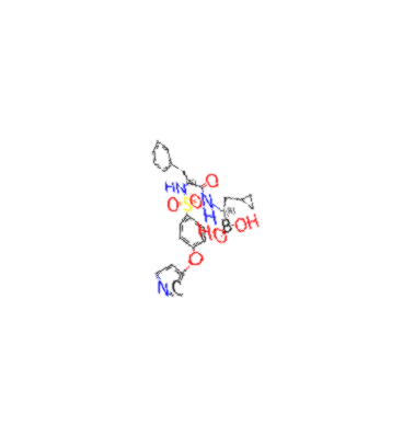 O=C(N[C@@H](CC1CC1)B(O)O)[C@H](Cc1ccccc1)NS(=O)(=O)c1ccc(Oc2ccncc2)cc1